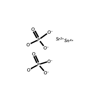 O=P([O-])([O-])[O-].O=P([O-])([O-])[O-].[Sn+4].[Sr+2]